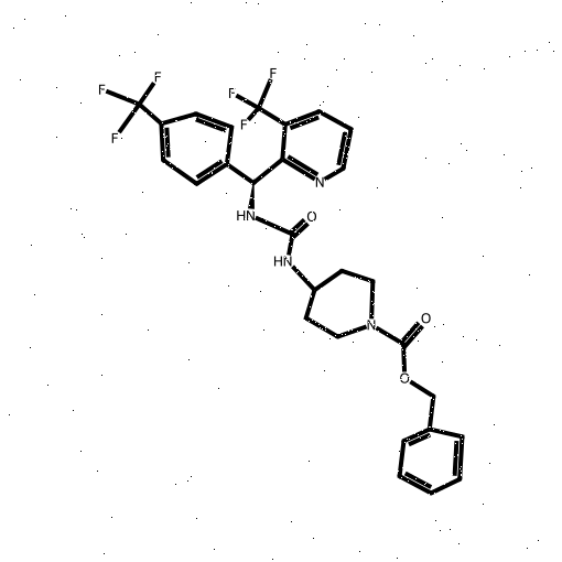 O=C(NC1CCN(C(=O)OCc2ccccc2)CC1)N[C@@H](c1ccc(C(F)(F)F)cc1)c1ncccc1C(F)(F)F